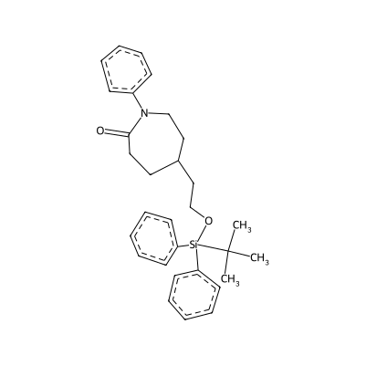 CC(C)(C)[Si](OCCC1CCC(=O)N(c2ccccc2)CC1)(c1ccccc1)c1ccccc1